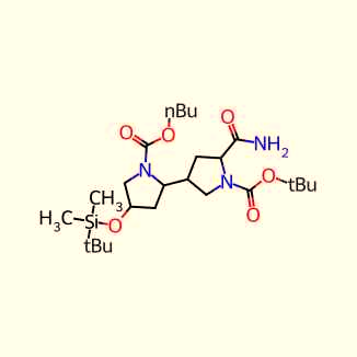 CCCCOC(=O)N1CC(O[Si](C)(C)C(C)(C)C)CC1C1CC(C(N)=O)N(C(=O)OC(C)(C)C)C1